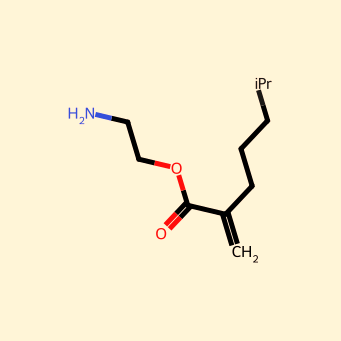 C=C(CCCC(C)C)C(=O)OCCN